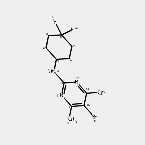 Cc1nc(NC2CCC(F)(F)CC2)nc(Cl)c1Br